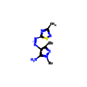 CCC(C)n1nc(C(C)(C)C)c(/N=N\c2nc(C)ns2)c1N